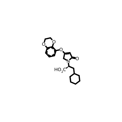 O=C(O)[C@H](CC1CCCCC1)N1CC(Oc2cccc3c2OCCO3)=CC1=O